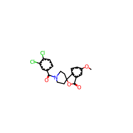 COc1ccc2c(c1)C(=O)OC21CCN(C(=O)c2ccc(Cl)c(Cl)c2)CC1